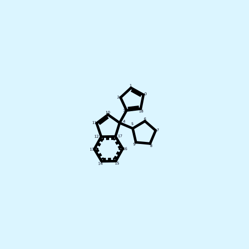 C1=CCC(C2(C3CCCC3)C=Cc3ccccc32)=C1